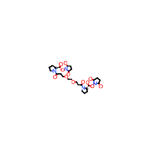 O=C(ON1C(=O)CCC1=O)[C@@H]1CCCN1C(=O)CCOCCOCCC(=O)N1CCC[C@H]1C(=O)ON1C(=O)CCC1=O